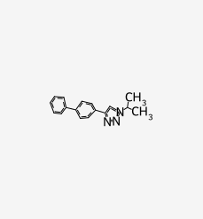 CC(C)n1cc(-c2ccc(-c3ccccc3)cc2)nn1